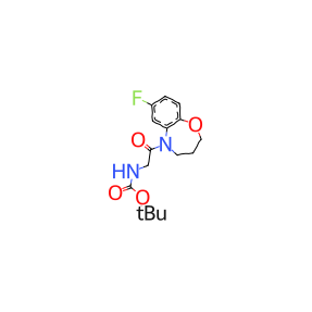 CC(C)(C)OC(=O)NCC(=O)N1CCCOc2ccc(F)cc21